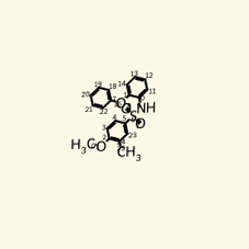 COc1ccc(S(=O)(=O)Nc2ccccc2Oc2ccccc2)cc1C